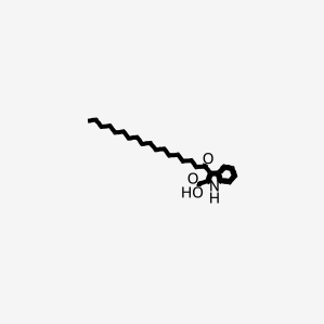 CCCCCCCCCCCCCCCCCC(=O)c1c(C(=O)O)[nH]c2ccccc12